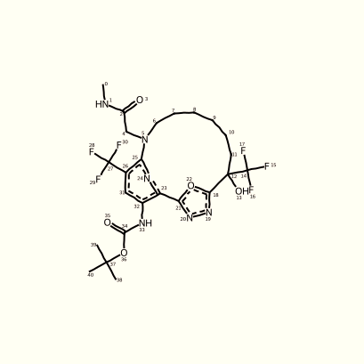 CNC(=O)CN1CCCCCCC(O)(C(F)(F)F)c2nnc(o2)-c2nc1c(C(F)(F)F)cc2NC(=O)OC(C)(C)C